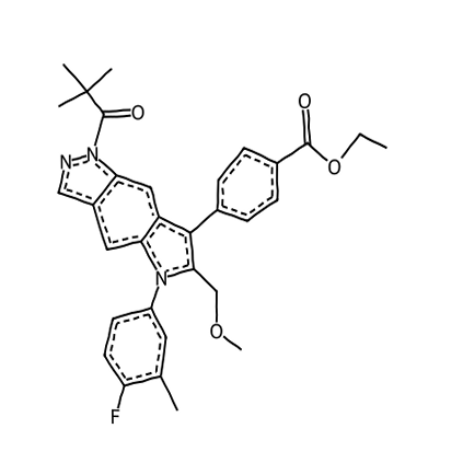 CCOC(=O)c1ccc(-c2c(COC)n(-c3ccc(F)c(C)c3)c3cc4cnn(C(=O)C(C)(C)C)c4cc23)cc1